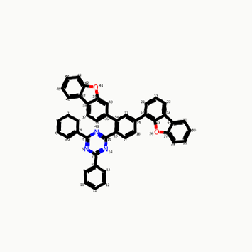 C1=CCCC(c2nc(-c3ccccc3)nc(-c3ccc(-c4cccc5c4oc4ccccc45)cc3-c3ccc4c(c3)oc3ccccc34)n2)=C1